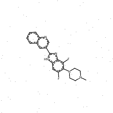 CN1CCN(c2c(F)cc3[nH]c(-c4cnc5ccccc5c4)nc3c2F)CC1